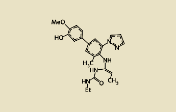 CC=C(NC(=O)NCC)Nc1c(C)cc(-c2ccc(OC)c(O)c2)cc1-n1cccn1